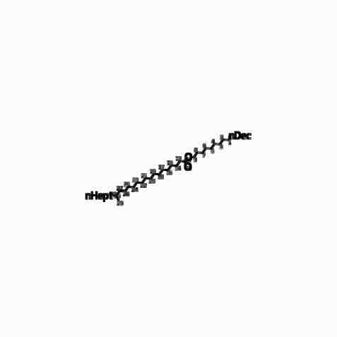 CCCCCCCCCCCCCCCCCCCOC(=O)CCCCCCCCCCCCCC=CC(C)CCCCCCC